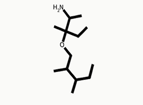 CCC(C)C(C)COC(C)(CC)C(C)N